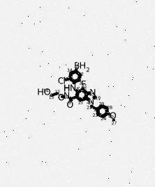 Bc1ccc(Nc2c(C(=O)NOCCO)cc3c(ncn3Cc3ccc(OC)cc3)c2F)c(Cl)c1